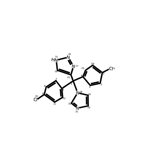 Clc1ccc(C(c2ccc(Cl)cc2)(c2c[nH]nn2)n2ccnc2)cc1